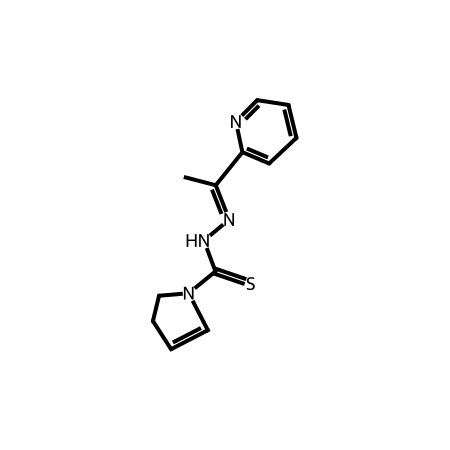 CC(=NNC(=S)N1C=CCC1)c1ccccn1